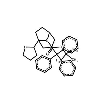 CC(C)(C)OC(=O)N1C2CCC1(C1CCCO1)CN(C(c1ccccc1)(c1ccccc1)c1ccccc1)C2